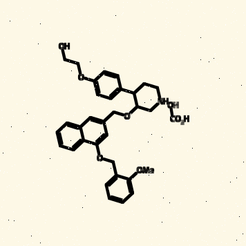 COc1ccccc1COc1cc(COC2CNCCC2c2ccc(OCCO)cc2)cc2ccccc12.O=C(O)O